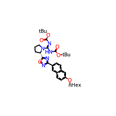 CCCCCCOc1ccc2cc(-c3noc([C@@H]4CCCN4/C(=N\C(=O)OC(C)(C)C)NC(=O)OC(C)(C)C)n3)ccc2c1